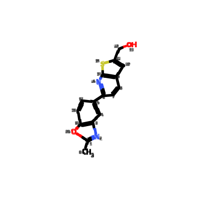 Cc1nc2cc(-c3ccc4cc(CO)sc4n3)ccc2o1